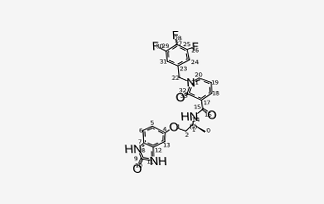 C[C@@H](COc1ccc2[nH]c(=O)[nH]c2c1)NC(=O)c1cccn(Cc2cc(F)c(F)c(F)c2)c1=O